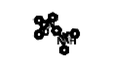 c1ccc(CN2NC(c3ccccc3)=NC2c2ccc(-n3c4ccccc4c4c5ccccc5c5c6ccccc6oc5c43)cc2)cc1